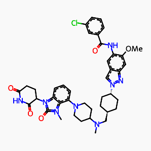 COc1cc2nn([C@H]3CC[C@H](CN(C)C4CCN(c5cccc6c5n(C)c(=O)n6C5CCC(=O)NC5=O)CC4)CC3)cc2cc1NC(=O)c1cccc(Cl)c1